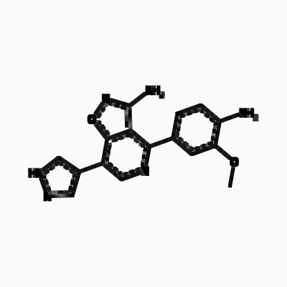 COc1cc(-c2ncc(-c3cn[nH]c3)c3onc(N)c23)ccc1N